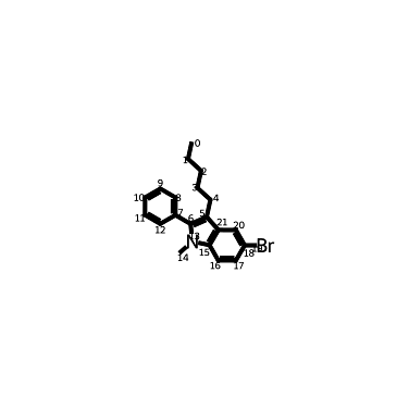 CCCCCc1c(-c2ccccc2)n(C)c2ccc(Br)cc12